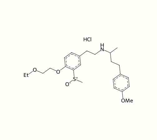 CCOCCOc1ccc(CCNC(C)CCc2ccc(OC)cc2)cc1[S+](C)[O-].Cl